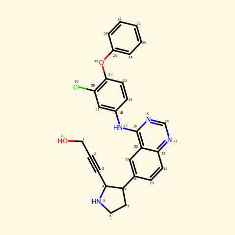 OCC#CC1NCCC1c1ccc2ncnc(Nc3ccc(Oc4ccccc4)c(Cl)c3)c2c1